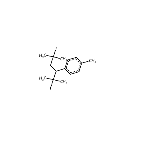 Cc1ccc(C(CC(C)(C)I)C(C)(C)I)cc1